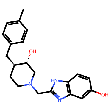 Cc1ccc(C[C@@H]2CCN(Cc3nc4cc(O)ccc4[nH]3)C[C@H]2O)cc1